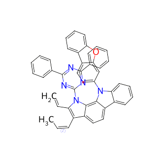 C=Cc1c(/C=C\C)c2ccc3c4ccccc4n(-c4ccc5c(c4)oc4ccccc45)c3c2n1-c1nc(-c2ccccc2)nc(-c2ccccc2)n1